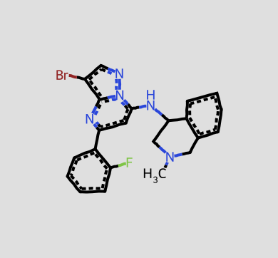 CN1Cc2ccccc2C(Nc2cc(-c3ccccc3F)nc3c(Br)cnn23)C1